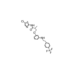 CC(COc1cccc(NCCc2ccc(C(F)(F)F)cc2)c1)C(=O)Nc1ncc(Cl)s1